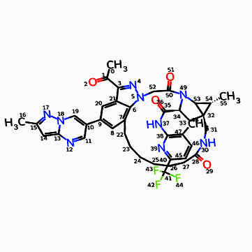 CC(=O)c1nn2c3c(cc(-c4cnc5cc(C)nn5c4)cc13)CCCCCCC(=O)NC[C@@]13C[C@@H](C(=O)Nc4nc(C(F)(F)F)ccc4C)N(C(=O)C2)C1[C@@H]3C